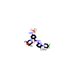 CCS(=O)(=O)Nc1ccc(C(=O)Nc2ccc(OC)c(N3CCC(F)(F)CC3)n2)c(N2C[C@H]3CC[C@@H](C2)C32CC2)c1